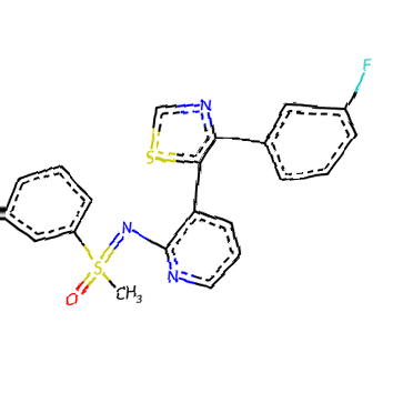 CS(=O)(=Nc1ncccc1-c1scnc1-c1cccc(F)c1)c1ccccc1